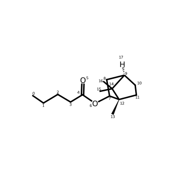 CCCCC(=O)OC1C[C@H]2CC[C@@]1(C)C2(C)C